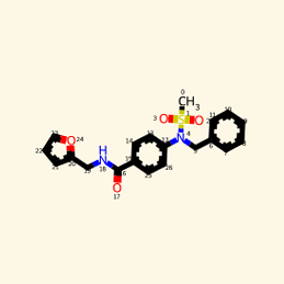 CS(=O)(=O)N(Cc1ccccc1)c1ccc(C(=O)NCc2ccco2)cc1